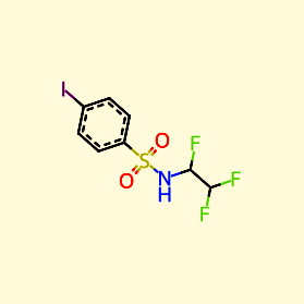 O=S(=O)(NC(F)C(F)F)c1ccc(I)cc1